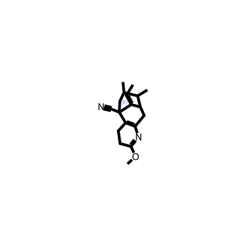 C/C=C1\C2CC3=C(CCC(OC)=N3)C1(C#N)CC(C)C2C